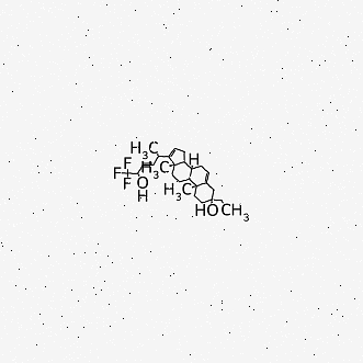 CC[C@]1(O)CC[C@@]2(C)C(=CC[C@@H]3C2CC[C@]2(C)C([C@H](C)/C=C/[C@@H](O)C(F)(F)F)=CCC32)C1